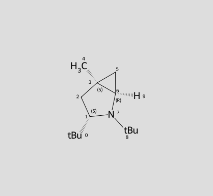 CC(C)(C)[C@@H]1C[C@@]2(C)C[C@H]2N1C(C)(C)C